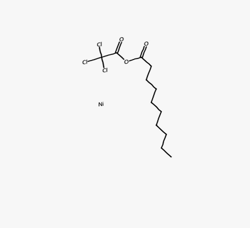 CCCCCCCCCC(=O)OC(=O)C(Cl)(Cl)Cl.[Ni]